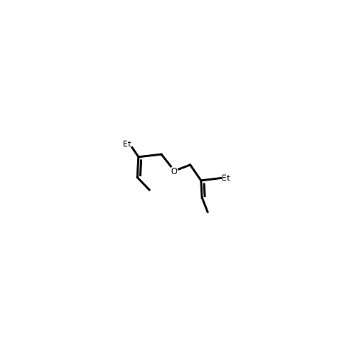 CC=C(CC)COCC(=CC)CC